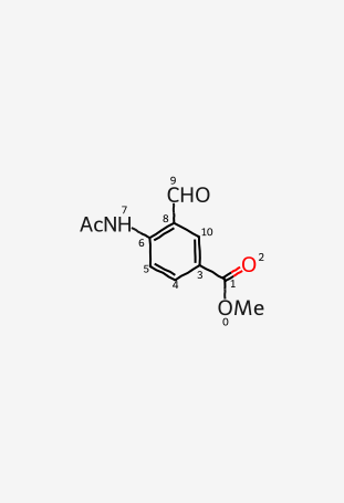 COC(=O)c1ccc(NC(C)=O)c(C=O)c1